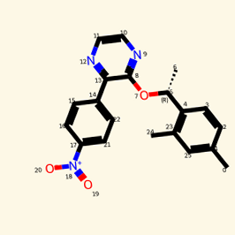 Cc1ccc([C@@H](C)Oc2nccnc2-c2ccc([N+](=O)[O-])cc2)c(C)c1